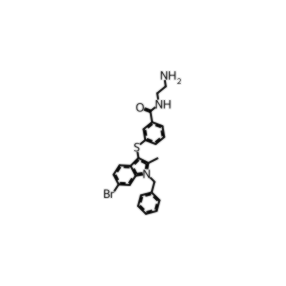 Cc1c(Sc2cccc(C(=O)NCCN)c2)c2ccc(Br)cc2n1Cc1ccccc1